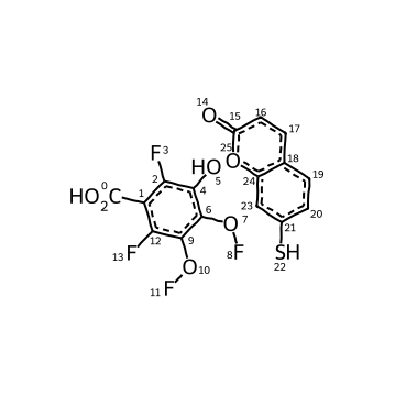 O=C(O)c1c(F)c(O)c(OF)c(OF)c1F.O=c1ccc2ccc(S)cc2o1